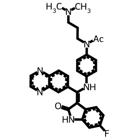 CC(=O)N(CCCN(C)C)c1ccc(NC(=C2C(=O)Nc3cc(F)ccc32)c2ccc3nccnc3c2)cc1